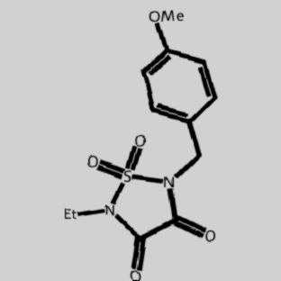 CCN1C(=O)C(=O)N(Cc2ccc(OC)cc2)S1(=O)=O